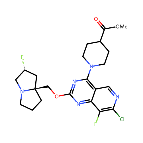 COC(=O)C1CCN(c2nc(OC[C@@]34CCCN3C[C@H](F)C4)nc3c(F)c(Cl)ncc23)CC1